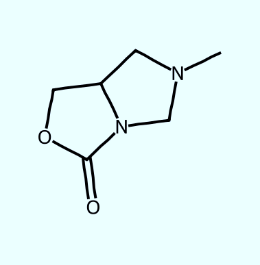 CN1CC2COC(=O)N2C1